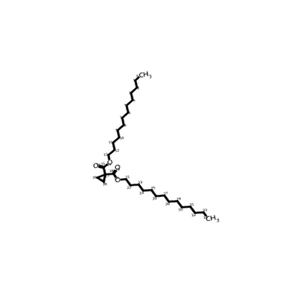 CCCCCCCCCCCCCCOC(=O)C1(C(=O)OCCCCCCCCCCCCCC)CC1